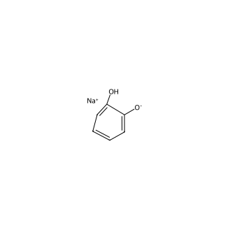 [Na+].[O-]c1ccccc1O